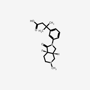 CN1CC[C@]2(F)C(=O)N(c3cccc(C(C)(C)CC(=O)O)c3)C[C@@H]2C1